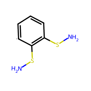 NSc1[c]cccc1SN